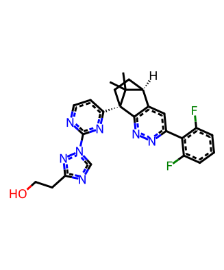 CC1(C)[C@H]2CC[C@]1(c1ccnc(-n3cnc(CCO)n3)n1)c1nnc(-c3c(F)cccc3F)cc12